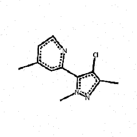 Cc1ccnc(-c2c(Cl)c(C)nn2C)c1